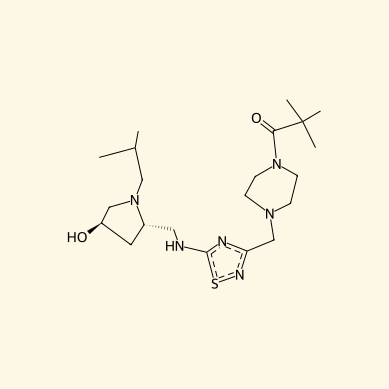 CC(C)CN1C[C@H](O)C[C@H]1CNc1nc(CN2CCN(C(=O)C(C)(C)C)CC2)ns1